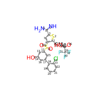 CSc1sc(C(=N)N)cc1S(=O)(=O)c1cc(O)cc(-c2ccccc2Cl)c1.O=C(O)C(F)(F)F